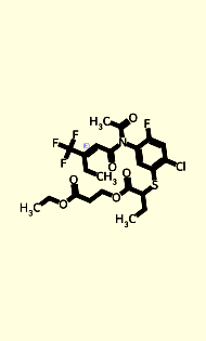 CCOC(=O)CCOC(=O)C(CC)Sc1cc(N(C(C)=O)C(=O)/C=C(\CC)C(F)(F)F)c(F)cc1Cl